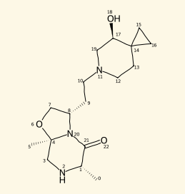 C[C@@H]1NC[C@@]2(C)OC[C@H](CCN3CCC4(CC4)[C@H](O)C3)N2C1=O